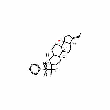 CC=C1CC[C@H]2[C@@H]3CC[C@@H]4C[C@](O)(C(F)(F)S(=O)(=O)c5ccccc5)CC[C@@H]4[C@H]3CC[C@]12C